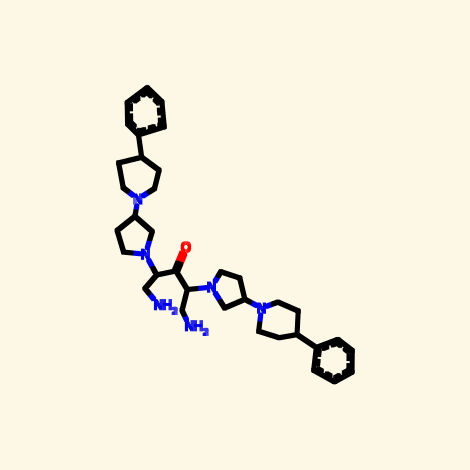 NCC(C(=O)C(CN)N1CCC(N2CCC(c3ccccc3)CC2)C1)N1CCC(N2CCC(c3ccccc3)CC2)C1